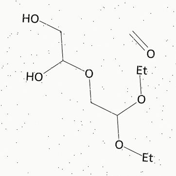 C=O.CCOC(COC(O)CO)OCC